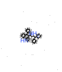 NC(CCC(c1ccccc1)c1ccccc1)C(C1CCNC1)C(c1ccccc1)c1ccccc1